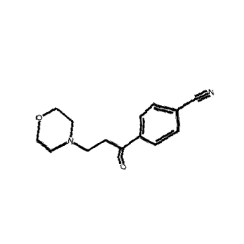 N#Cc1ccc(C(=O)CCN2CCOCC2)cc1